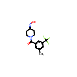 Cc1cc(C(=O)N2CCC(=NO)CC2)cc(C(F)(F)F)c1